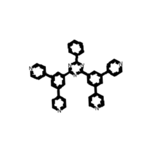 c1ccc(-c2nc(-c3cc(-c4ccncc4)cc(-c4ccncc4)c3)nc(-c3cc(-c4ccncc4)cc(-c4ccncc4)c3)n2)cc1